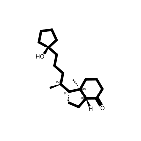 C[C@@H](CCCC1(O)CCCC1)[C@H]1CC[C@H]2C(=O)CCC[C@]12C